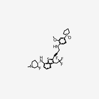 COc1cc(P2(=O)CCCC2)ccc1NCC#Cc1sc2c(N[C@H]3CCN(C)C[C@@H]3F)cccc2c1CC(F)(F)F